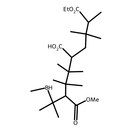 CBC(C)(C)C(C(=O)OC)C(C)(C)C(C)(C)C(CC(C)(C)C(C)C(=O)OCC)C(=O)O